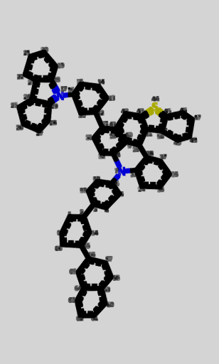 c1cc(-c2ccc(N(c3ccc(-c4cccc(-n5c6ccccc6c6ccccc65)c4)cc3)c3ccccc3-c3cccc4sc5ccccc5c34)cc2)cc(-c2ccc3ccccc3c2)c1